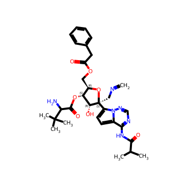 C=NC[C@@]1(c2ccc3c(NC(=O)C(C)C)ncnn23)O[C@H](COC(=O)Cc2ccccc2)[C@@H](OC(=O)C(N)C(C)(C)C)[C@H]1O